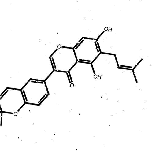 CC(C)=CCc1c(O)cc2occ(-c3ccc4c(c3)C=CC(C)(C)O4)c(=O)c2c1O